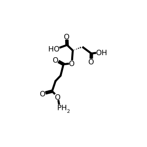 O=C(O)C[C@H](OC(=O)CCC(=O)OP)C(=O)O